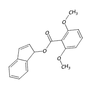 COc1cccc(OC)c1C(=O)OC1C=Cc2ccccc21